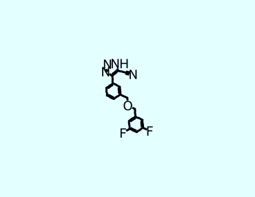 N#Cc1[nH]nnc1-c1cccc(COCc2cc(F)cc(F)c2)c1